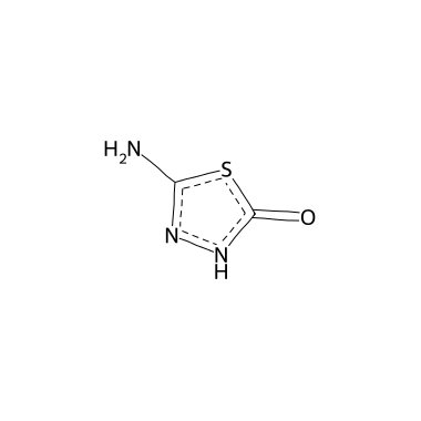 Nc1n[nH]c(=O)s1